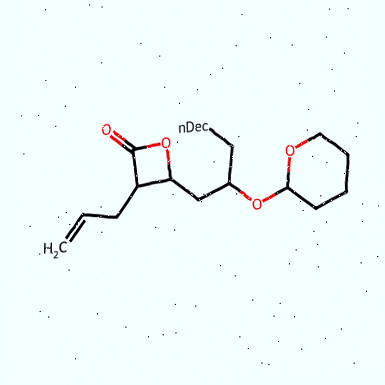 C=CCC1C(=O)OC1CC(CCCCCCCCCCC)OC1CCCCO1